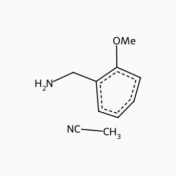 CC#N.COc1ccccc1CN